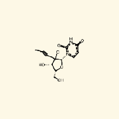 CC#CC1(Cl)[C@@H](O)[C@@H](CO)O[C@H]1n1ccc(=O)[nH]c1=O